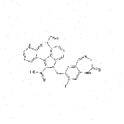 O=C1CN=Cc2cc(Cn3c(C(=O)O)c(-c4ccc[nH]c4=O)c4c5occc5ccc43)c(F)cc2N1